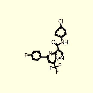 O=C(Nc1ccc(Cl)cc1)c1cnn2c(C(F)(F)F)cc(-c3ccc(F)cc3)nc12